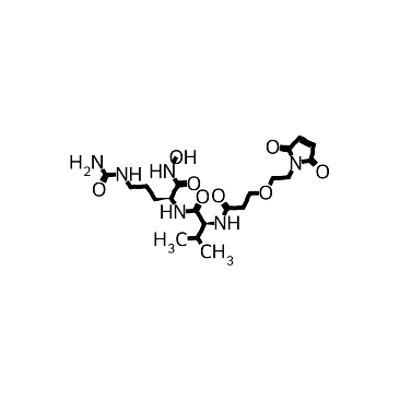 CC(C)[C@H](NC(=O)CCOCCN1C(=O)C=CC1=O)C(=O)N[C@@H](CCCNC(N)=O)C(=O)NO